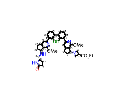 CCOC(=O)C1CN([C@H]2CCc3cc(-c4cccc(-c5cccc(-c6cc7c(c(OC)n6)[C@H](NC[C@@H]6CCC(=O)N6)CC7)c5Cl)c4Cl)nc(OC)c32)C1